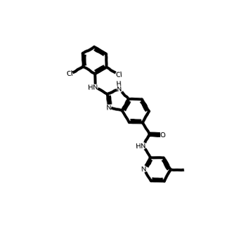 Cc1ccnc(NC(=O)c2ccc3[nH]c(Nc4c(Cl)cccc4Cl)nc3c2)c1